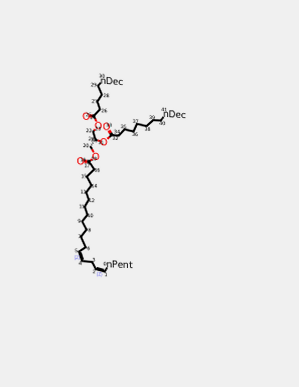 CCCCC/C=C\C/C=C\CCCCCCCCCCCC(=O)OC[C@H](COC(=O)CCCCCCCCCCCCCC)OC(=O)CCCCCCCCCCCCCCCCC